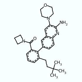 CC(C)(C)CCc1cccc(C(=O)N2CCC2)c1-c1ccc2nc(N)c(N3CCOCC3)cc2c1